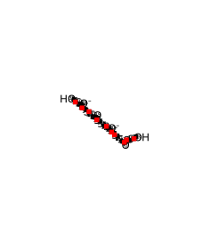 O=C(CSCCSCC[S+]([O-])CSCCSCSC(=O)CSCCSCC[S+]([O-])CSCCO)SCSCCO